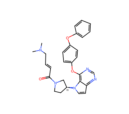 CN(C)CC=CC(=O)N1CC[C@H](n2ccc3ncnc(Oc4ccc(Oc5ccccc5)cc4)c32)C1